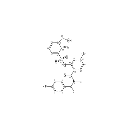 CC(c1ccc(F)cc1)N(C)C(=O)c1ccc(Br)cc1NS(=O)(=O)C1=CC=CN2SNC=C12